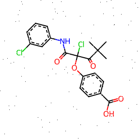 CC(C)(C)C(=O)C(Cl)(Oc1ccc(C(=O)O)cc1)C(=O)Nc1cccc(Cl)c1